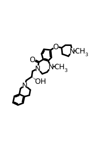 CN1CCC(Oc2ccc3c(c2)N(C)CCN(C[C@H](O)CN2CCc4ccccc4C2)C3=O)CC1